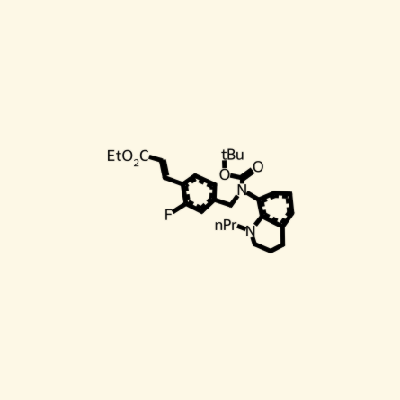 CCCN1CCCc2cccc(N(Cc3ccc(C=CC(=O)OCC)c(F)c3)C(=O)OC(C)(C)C)c21